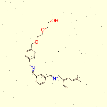 C=C/C(=C\C=C(C)C)C/N=C/c1cccc(/C=N/Cc2ccc(COCCOCCO)cc2)c1